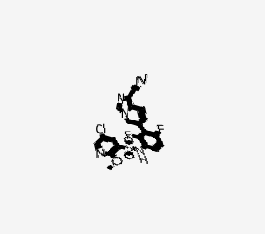 COc1ncc(Cl)cc1S(=O)(=O)Nc1ccc(F)c(-c2ccc3c(C#N)ncn3c2)c1F